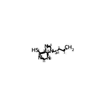 C=CCSn1cnc2c(S)ncnc21